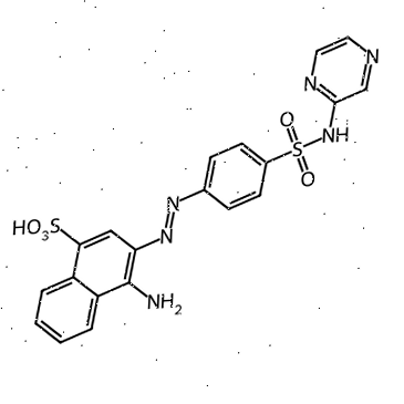 Nc1c(/N=N/c2ccc(S(=O)(=O)Nc3cnccn3)cc2)cc(S(=O)(=O)O)c2ccccc12